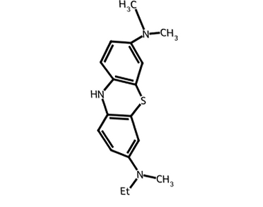 CCN(C)c1ccc2c(c1)Sc1cc(N(C)C)ccc1N2